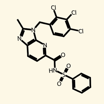 Cc1nc2ccc(C(=O)NS(=O)(=O)c3ccccc3)nc2n1Cc1ccc(Cl)c(Cl)c1Cl